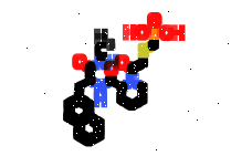 CNC(=O)[C@H](Cc1ccc2ccccc2c1)NC(=O)[C@@H]1CCCCN1C(=O)CSCP(=O)(O)O